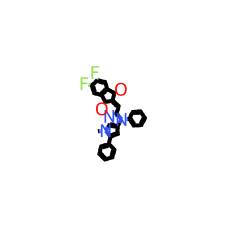 Cn1c(-c2ccccc2)cc2c1nc(C=C1C(=O)c3cc(F)c(F)cc3C1=O)n2-c1ccccc1